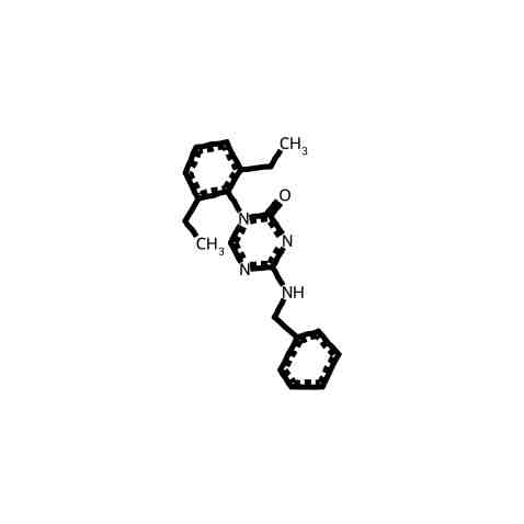 CCc1cccc(CC)c1-n1cnc(NCc2ccccc2)nc1=O